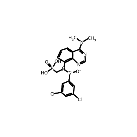 CN(C)c1ncnc2c(N(CP(=O)(O)O)[S+]([O-])c3cc(Cl)cc(Cl)c3)cccc12